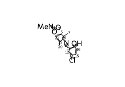 CNC(=O)Oc1cc(C)c(N=Cc2cc(Cl)ccc2O)c(C)c1